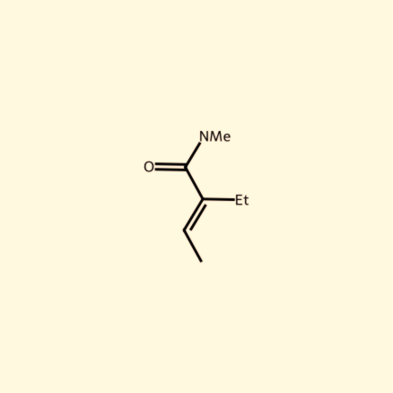 C/C=C(\CC)C(=O)NC